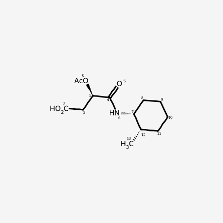 CC(=O)O[C@H](CC(=O)O)C(=O)N[C@@H]1CCCC[C@@H]1C